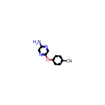 N#Cc1ccc(Oc2cnc(N)cn2)cc1